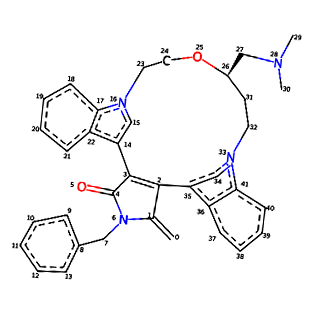 C=C1C2=C(C(=O)N1Cc1ccccc1)c1cn(c3ccccc13)CCO[C@@H](CN(C)C)CCn1cc2c2ccccc21